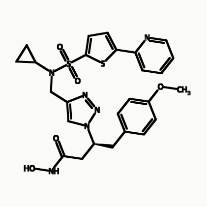 COc1ccc(C[C@@H](CC(=O)NO)n2cc(CN(C3CC3)S(=O)(=O)c3ccc(-c4ccccn4)s3)nn2)cc1